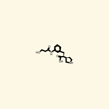 O=C(CCO)Nc1cccc(C[C@H](C(=O)O)[C@H]2CCNC2)c1